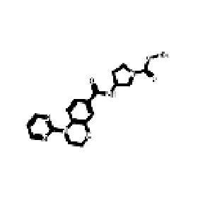 CC(C)(C)OC(=O)N1CCC(NC(=O)c2ccc3c(c2)OCCN3c2ncccn2)C1